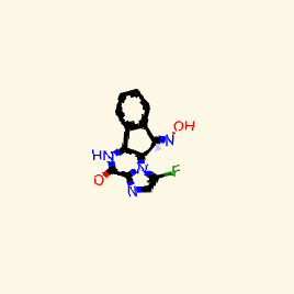 O=c1[nH]c2c(n3c(F)cnc13)/C(=N/O)c1ccccc1-2